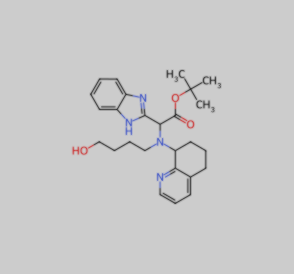 CC(C)(C)OC(=O)C(c1nc2ccccc2[nH]1)N(CCCCO)C1CCCc2cccnc21